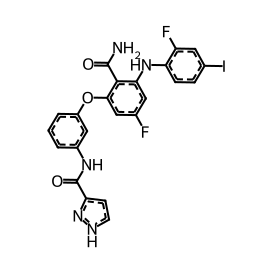 NC(=O)c1c(Nc2ccc(I)cc2F)cc(F)cc1Oc1cccc(NC(=O)c2cc[nH]n2)c1